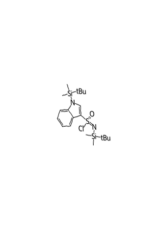 CC(C)(C)[Si](C)(C)N=S(=O)(Cl)c1cn([Si](C)(C)C(C)(C)C)c2ccccc12